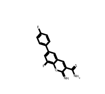 N=c1oc2c(F)cc(-c3ccc(F)cc3)cc2cc1C(N)=S